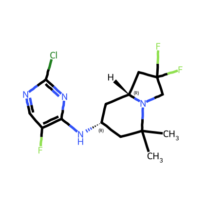 CC1(C)C[C@H](Nc2nc(Cl)ncc2F)C[C@@H]2CC(F)(F)CN21